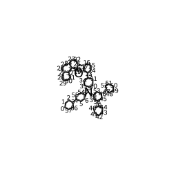 c1ccc(-c2ccc(N(c3ccc(-c4cccc5c4oc4c5ccc5ccc6ccccc6c54)cc3)c3cc(-c4ccccc4)cc(-c4ccccc4)c3)cc2)cc1